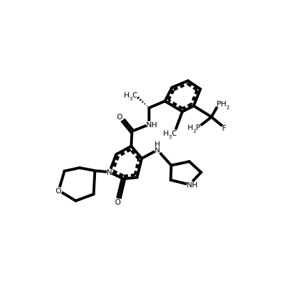 Cc1c([C@@H](C)NC(=O)c2cn(C3CCOCC3)c(=O)cc2NC2CCNC2)cccc1C(F)(P)P